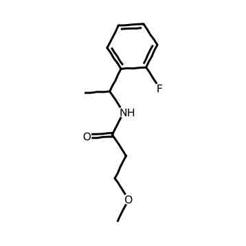 COCCC(=O)NC(C)c1ccccc1F